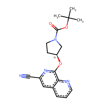 CC(C)(C)OC(=O)N1CC[C@H](Oc2nc(C#N)cc3cccnc23)C1